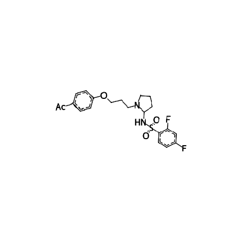 CC(=O)c1ccc(OCCCN2CCCC2NS(=O)(=O)c2ccc(F)cc2F)cc1